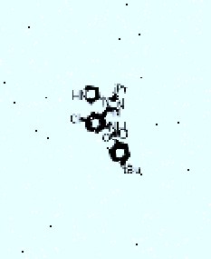 CC(C)c1nnc(-c2cc(Cl)ccc2NS(=O)(=O)c2ccc(C(C)(C)C)cc2)n1[C@H]1CCNC1